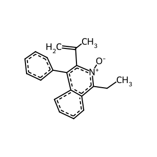 C=C(C)c1c(-c2ccccc2)c2ccccc2c(CC)[n+]1[O-]